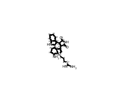 N=C(N)SCCCn1cc(C2=C(c3c[nH]c4ccccc34)C(=O)NC2=O)c2cccc(N)c21